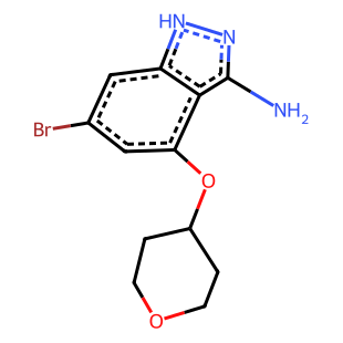 Nc1n[nH]c2cc(Br)cc(OC3CCOCC3)c12